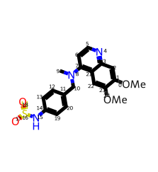 COc1cc2nccc(N(C)Cc3ccc(N[SH](=O)=O)cc3)c2cc1OC